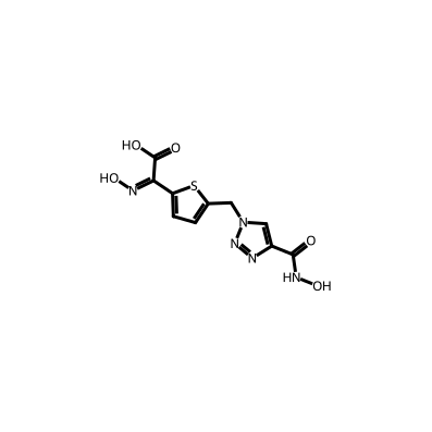 O=C(O)C(=NO)c1ccc(Cn2cc(C(=O)NO)nn2)s1